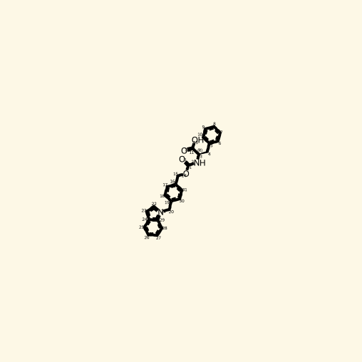 O=C(N[C@H](Cc1ccccc1)C(=O)O)OCc1ccc(Cn2ccc3ccccc32)cc1